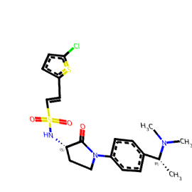 C[C@H](c1ccc(N2CC[C@H](NS(=O)(=O)C=Cc3ccc(Cl)s3)C2=O)cc1)N(C)C